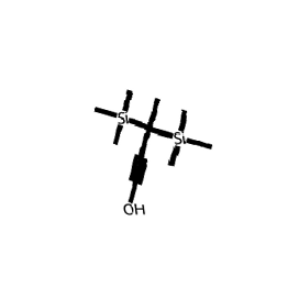 CC(C#CO)([Si](C)(C)C)[Si](C)(C)C